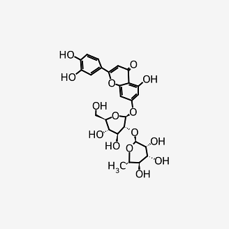 C[C@@H]1O[C@@H](O[C@H]2[C@H](Oc3cc(O)c4c(=O)cc(-c5ccc(O)c(O)c5)oc4c3)O[C@H](CO)[C@@H](O)[C@@H]2O)[C@H](O)[C@H](O)[C@H]1O